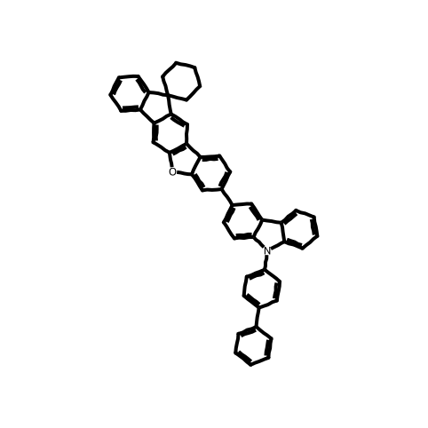 c1ccc(-c2ccc(-n3c4ccccc4c4cc(-c5ccc6c(c5)oc5cc7c(cc56)C5(CCCCC5)c5ccccc5-7)ccc43)cc2)cc1